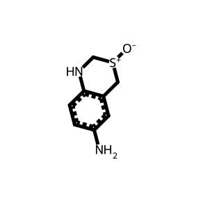 Nc1ccc2c(c1)C[S+]([O-])CN2